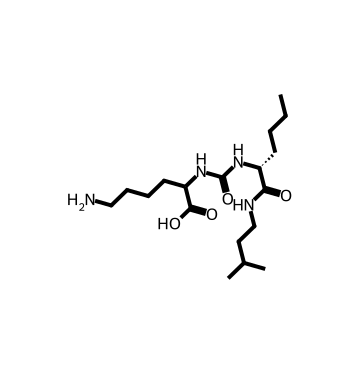 CCCC[C@@H](NC(=O)NC(CCCCN)C(=O)O)C(=O)NCCC(C)C